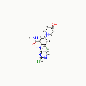 CNC(=O)c1cc(N2CCC(O)CC2)ccc1Nc1nc(Cl)ncc1Cl